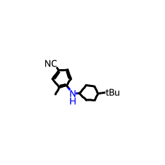 Cc1cc(C#N)ccc1NC1CCC(C(C)(C)C)CC1